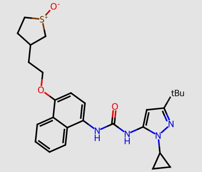 CC(C)(C)c1cc(NC(=O)Nc2ccc(OCCC3CC[S+]([O-])C3)c3ccccc23)n(C2CC2)n1